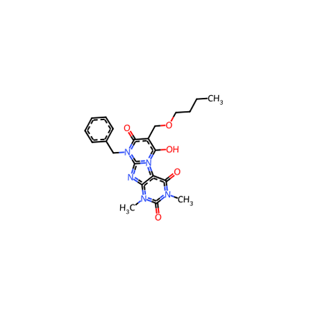 CCCCOCc1c(O)n2c3c(=O)n(C)c(=O)n(C)c3nc2n(Cc2ccccc2)c1=O